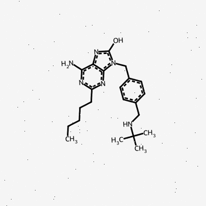 CCCCCc1nc(N)c2nc(O)n(Cc3ccc(CNC(C)(C)C)cc3)c2n1